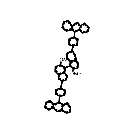 COc1ccc2cc(-c3ccc(-c4c5ccccc5cc5ccccc45)cc3)ccc2c1-c1c(OC)ccc2cc(-c3ccc(-c4c5ccccc5cc5ccccc45)cc3)ccc12